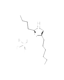 CCCCCCc1c[nH]c(CCCC)n1.F[B-](F)(F)F